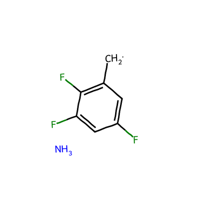 N.[CH2]c1cc(F)cc(F)c1F